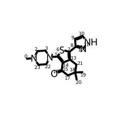 CN1CCN(c2sc(-c3cc[nH]n3)c3c2C(=O)CC(C)(C)C3)CC1